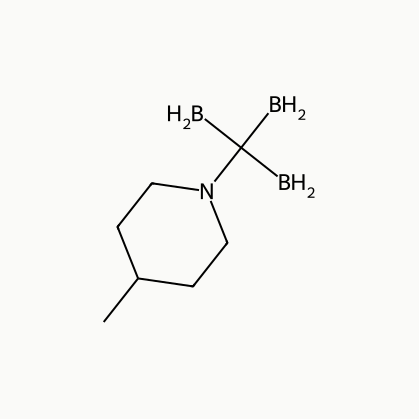 BC(B)(B)N1CCC(C)CC1